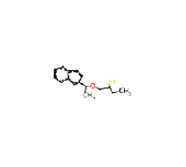 CCC(S)COC(C)c1ccc2ccccc2c1